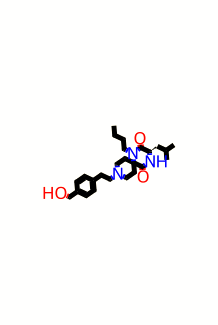 CCCCN1C(=O)[C@H](CC(C)C)NC(=O)C12CCN(CCc1ccc(CO)cc1)CC2